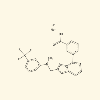 CN(Cc1cc2cccc(-c3cccc(C(=O)O)c3)c2s1)c1cccc(C(F)(F)F)c1.[H-].[Na+]